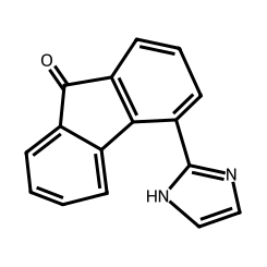 O=C1c2ccccc2-c2c1cccc2-c1ncc[nH]1